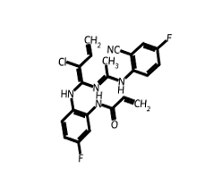 C=CC(=O)Nc1cc(F)ccc1NC(/N=C(\C)Nc1ccc(F)cc1C#N)=C(\Cl)C=C